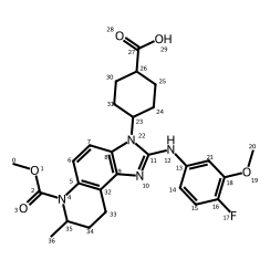 COC(=O)N1c2ccc3c(nc(Nc4ccc(F)c(OC)c4)n3C3CCC(C(=O)O)CC3)c2CCC1C